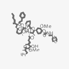 C/C=C/C=C(\C)C(C[C@@H]1CC[C@@H](C)[C@](O)(C(=O)C(=O)N2CCCCC2C(=O)O[C@@H](CC(=O)C/C=C(\C)[C@@H](O)[C@@H](OC)C(=O)[C@H](C)CC(C)C)[C@H](C)C[C@@H]2CC[C@@H](OC(=O)NCCN3CCOCC3)[C@H](OC)C2)O1)OCCc1ccccc1